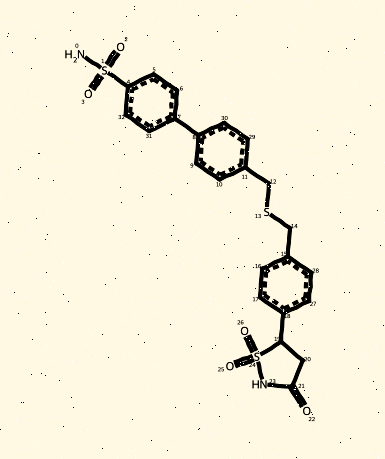 NS(=O)(=O)c1ccc(-c2ccc(CSCc3ccc(C4CC(=O)NS4(=O)=O)cc3)cc2)cc1